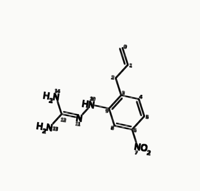 C=CCc1ccc([N+](=O)[O-])cc1NN=C(N)N